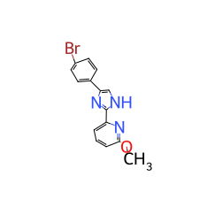 COc1cccc(-c2nc(-c3ccc(Br)cc3)c[nH]2)n1